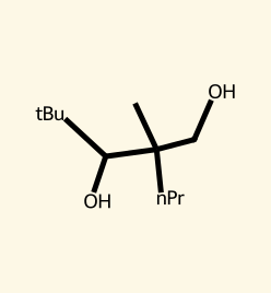 CCCC(C)(CO)C(O)C(C)(C)C